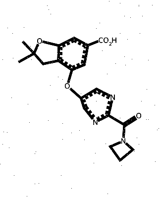 CC1(C)Cc2c(Oc3cnc(C(=O)N4CCC4)nc3)cc(C(=O)O)cc2O1